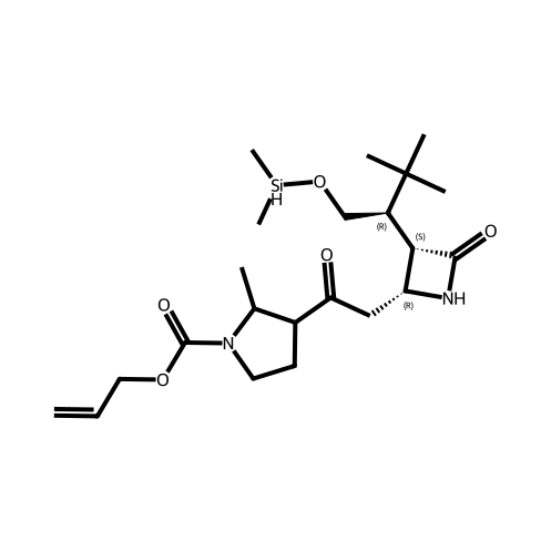 C=CCOC(=O)N1CCC(C(=O)C[C@H]2NC(=O)[C@H]2[C@@H](CO[SiH](C)C)C(C)(C)C)C1C